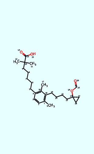 Cc1ccc(CCCCCC(C)(C)C(=O)O)c(C)c1CCCCC1(OC=O)CC1